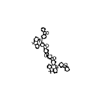 CC1(C)c2ccccc2-c2c(N(c3ccc4c(c3)oc3cc5c(cc34)oc3cc4c(cc35)oc3cc(N(c5ccc6oc7ccccc7c6c5)c5cccc6c5-c5ccccc5C6(C)C)ccc34)c3ccc4oc5ccccc5c4c3)cccc21